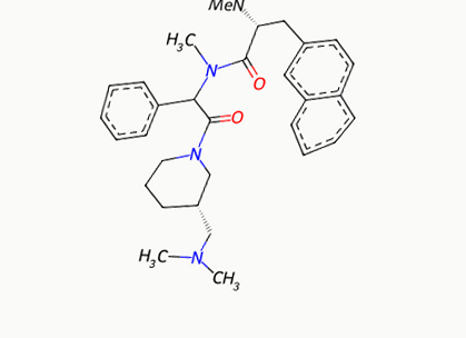 CN[C@H](Cc1ccc2ccccc2c1)C(=O)N(C)C(C(=O)N1CCC[C@@H](CN(C)C)C1)c1ccccc1